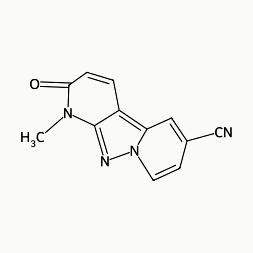 Cn1c(=O)ccc2c1nn1ccc(C#N)cc21